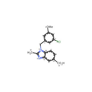 COc1cc(Cl)cc(Cn2c(C)nc3cc(C(=O)O)ccc32)c1